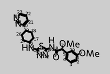 COc1cccc([C@@H](OC)C(=O)Nc2nnc(N[C@H]3CC[C@@H](c4cccnn4)CC3)s2)c1